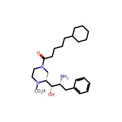 N[C@H](Cc1ccccc1)[C@H](O)[C@H]1CN(C(=O)CCCCC2CCCCC2)CCN1C(=O)O